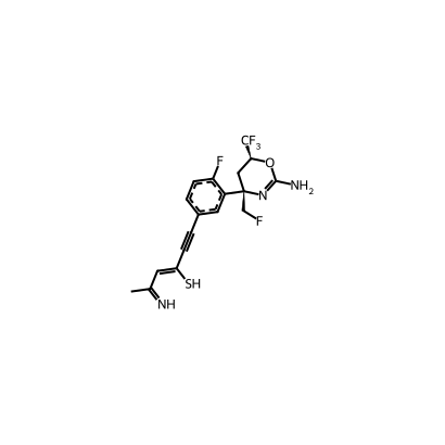 CC(=N)/C=C(\S)C#Cc1ccc(F)c([C@]2(CF)C[C@@H](C(F)(F)F)OC(N)=N2)c1